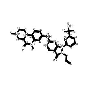 C=CCn1c(=O)c2cnc(Nc3ccc4c(c3)N(C)C(=O)C3CN(C)CCN43)nc2n1-c1cccc(C(C)(C)O)n1